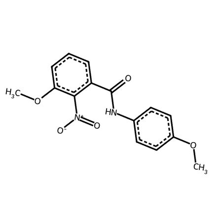 COc1ccc(NC(=O)c2cccc(OC)c2[N+](=O)[O-])cc1